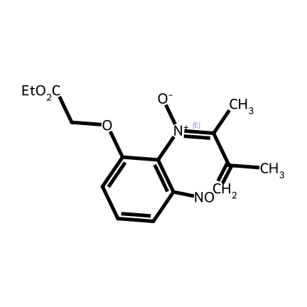 C=C(C)/C(C)=[N+](/[O-])c1c(N=O)cccc1OCC(=O)OCC